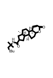 CC(C)(C)CC(C)(C)NC(=O)C1C[C@H]2[C@@H]3CCC4OC(=O)C=C[C@]4(C)[C@@H]3CC[C@]2(C)C1